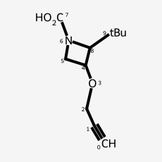 C#CCOC1CN(C(=O)O)C1C(C)(C)C